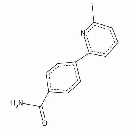 Cc1cccc(-c2ccc(C(N)=O)cc2)n1